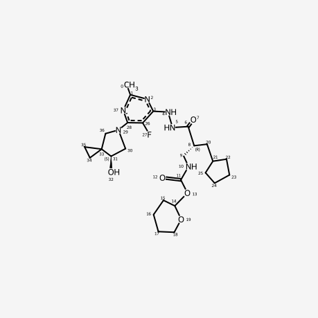 Cc1nc(NNC(=O)[C@@H](CNC(=O)OC2CCCCO2)CC2CCCC2)c(F)c(N2C[C@@H](O)C3(CC3)C2)n1